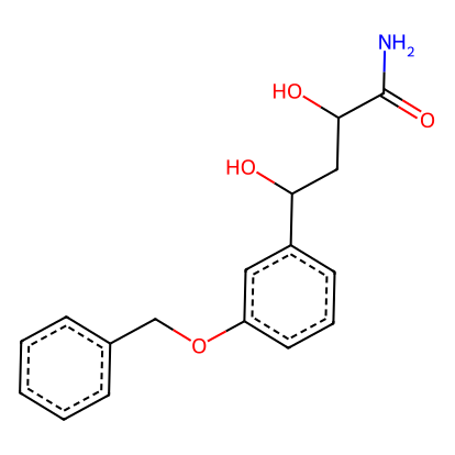 NC(=O)C(O)CC(O)c1cccc(OCc2ccccc2)c1